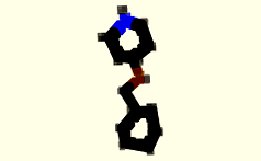 [c]1cc(SCc2ccccc2)ccn1